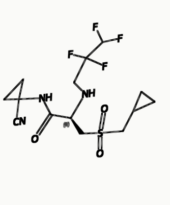 N#CC1(NC(=O)[C@H](CS(=O)(=O)CC2CC2)NCC(F)(F)C(F)F)CC1